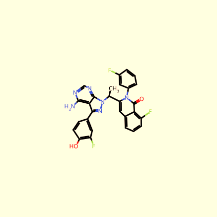 CC(c1cc2cccc(F)c2c(=O)n1-c1cccc(F)c1)n1nc(-c2ccc(O)c(F)c2)c2c(N)ncnc21